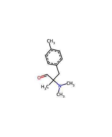 Cc1ccc(CC(C)(C=O)N(C)C)cc1